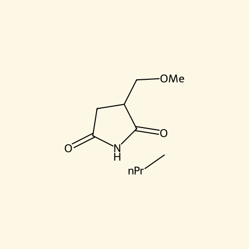 CCCC.COCC1CC(=O)NC1=O